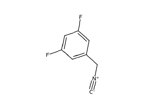 [C-]#[N+]Cc1cc(F)cc(F)c1